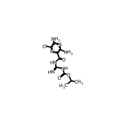 CC(C)OC(=O)NC(=N)NC(=O)c1nc(Cl)c(N)nc1N